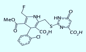 COC(=O)C1=C(CF)NC(CSc2nc(C(=O)O)cc(=O)[nH]2)=C(C(=O)O)C1c1ccccc1Cl